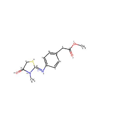 COC(=O)Cc1ccc(/N=C2\SCC(=O)N2C)cc1